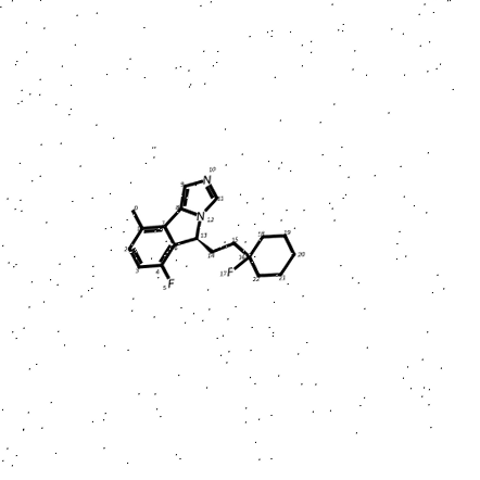 Cc1ccc(F)c2c1-c1cncn1[C@H]2CCC1(F)CCCCC1